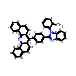 CC1CC=CC=C1n1c(-c2ccc(C3=c4ccc5ccccc5c4=NC4c5ccccc5C=CC34)cc2)nc2ccccc21